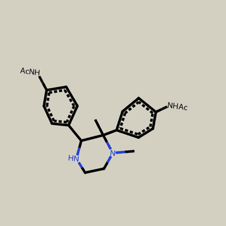 CC(=O)Nc1ccc(C2NCCN(C)C2(C)c2ccc(NC(C)=O)cc2)cc1